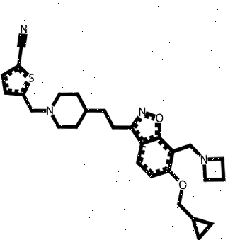 N#Cc1ccc(CN2CCC(CCc3noc4c(CN5CCC5)c(OCC5CC5)ccc34)CC2)s1